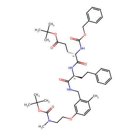 Cc1ccc(OCCN(C)C(=O)OC(C)(C)C)cc1CNC(=O)[C@H](CCc1ccccc1)NC(=O)[C@H](CCC(=O)OC(C)(C)C)NC(=O)OCc1ccccc1